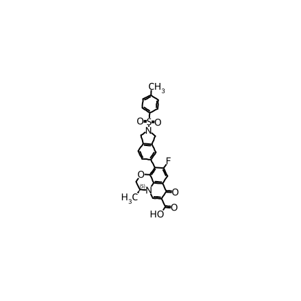 Cc1ccc(S(=O)(=O)N2Cc3ccc(-c4c(F)cc5c(=O)c(C(=O)O)cn6c5c4OC[C@@H]6C)cc3C2)cc1